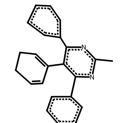 Cc1nc(-c2ccccc2)c(C2=CCCC=C2)c(-c2ccccc2)n1